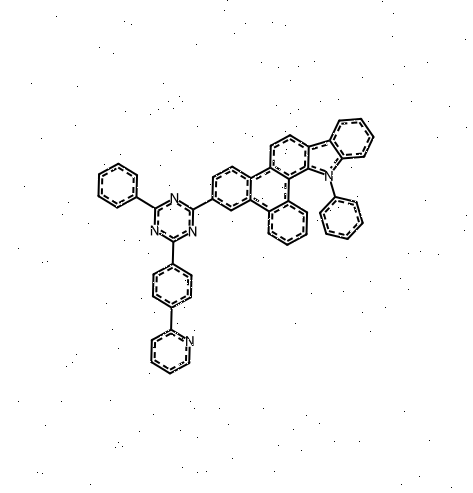 c1ccc(-c2nc(-c3ccc(-c4ccccn4)cc3)nc(-c3ccc4c(c3)c3ccccc3c3c4ccc4c5ccccc5n(-c5ccccc5)c43)n2)cc1